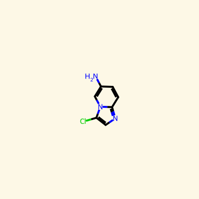 Nc1ccc2ncc(Cl)n2c1